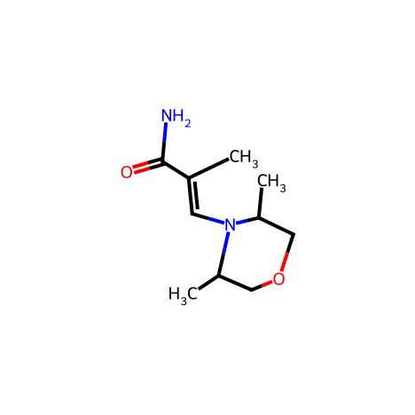 CC(=CN1C(C)COCC1C)C(N)=O